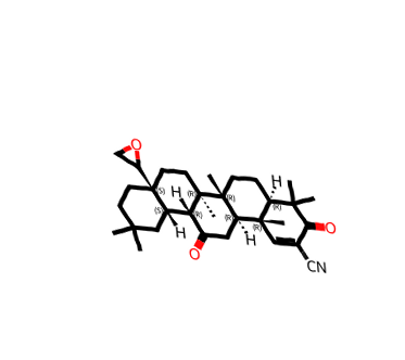 CC1(C)CC[C@]2(C3CO3)CC[C@]3(C)[C@H](C(=O)C[C@@H]4[C@@]5(C)C=C(C#N)C(=O)C(C)(C)[C@@H]5CC[C@]43C)[C@@H]2C1